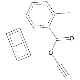 C#COC(=O)c1ccccc1C.c1cc2ccc1-2